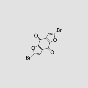 O=C1c2cc(Br)oc2C(=O)c2cc(Br)oc21